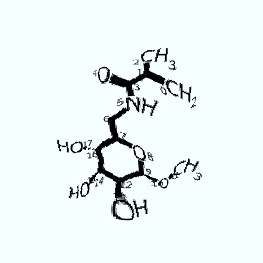 C=C(C)C(=O)NCC1O[C@@H](OC)C(O)[C@@H](O)[C@@H]1O